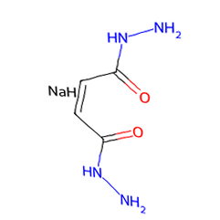 NNC(=O)/C=C\C(=O)NN.[NaH]